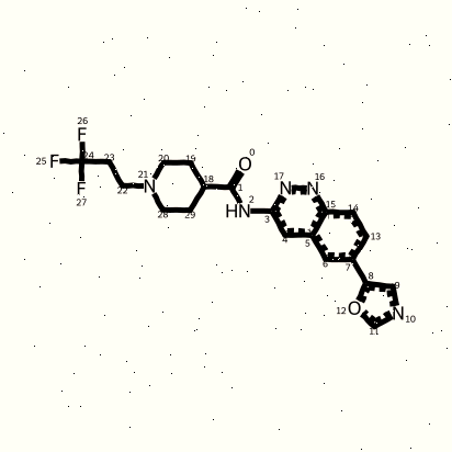 O=C(Nc1cc2cc(-c3cnco3)ccc2nn1)C1CCN(CCC(F)(F)F)CC1